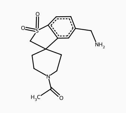 CC(=O)N1CCC2(CC1)CS(=O)(=O)c1ccc(CN)cc12